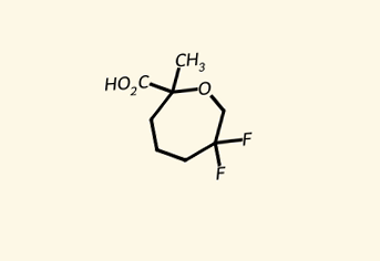 CC1(C(=O)O)CCCC(F)(F)CO1